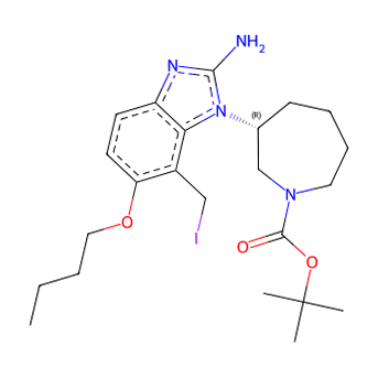 CCCCOc1ccc2nc(N)n([C@@H]3CCCCN(C(=O)OC(C)(C)C)C3)c2c1CI